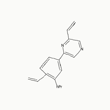 C=Cc1cncc(-c2ccc(C=C)c(CCC)c2)n1